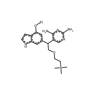 CCOc1cc(C(COCC[Si](C)(C)C)c2cnc(N)nc2N)cc2[nH]ccc12